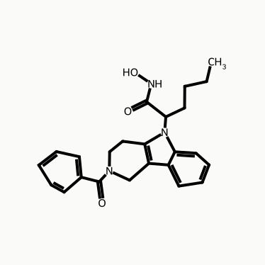 CCCCC(C(=O)NO)n1c2c(c3ccccc31)CN(C(=O)c1ccccc1)CC2